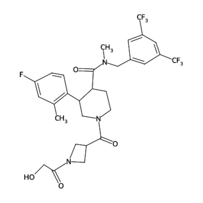 Cc1cc(F)ccc1C1CN(C(=O)C2CN(C(=O)CO)C2)CCC1C(=O)N(C)Cc1cc(C(F)(F)F)cc(C(F)(F)F)c1